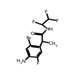 CC(C(=O)NC(F)C(F)F)c1cc(F)c(N)cc1Br